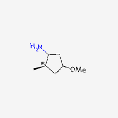 COC1CC(N)[C@H](C)C1